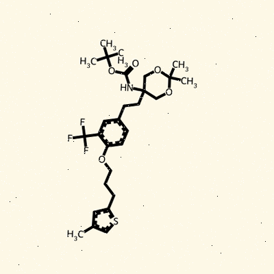 Cc1csc(CCCOc2ccc(CCC3(NC(=O)OC(C)(C)C)COC(C)(C)OC3)cc2C(F)(F)F)c1